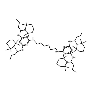 CCCC(Nc1nc(NCCCCCCNc2nc(NC(CCC)N3C(C)(C)CCCC3(C)C)nc(NC(CCC)N3C(C)(C)CCCC3(C)C)n2)nc(NC(CCC)N2C(C)(C)CCCC2(C)C)n1)N1C(C)(C)CCCC1(C)C